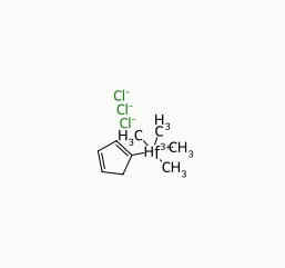 [CH3][Hf+3]([CH3])([CH3])([CH3])[C]1=CC=CC1.[Cl-].[Cl-].[Cl-]